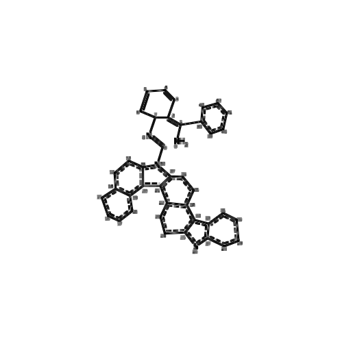 N/C(=C1/C=CC=CC1/N=C/n1c2ccc3ccccc3c2c2c3ccc4sc5ccccc5c4c3ccc21)c1ccccc1